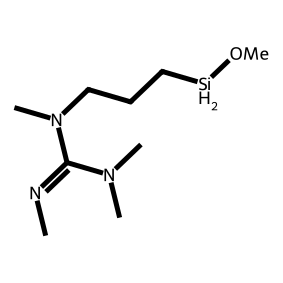 CN=C(N(C)C)N(C)CCC[SiH2]OC